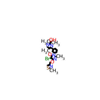 Cc1nc(COc2nc(C)n(-c3cccc(-c4nc(C(C)(C)O)ncc4C)c3)c(=O)c2Br)cs1